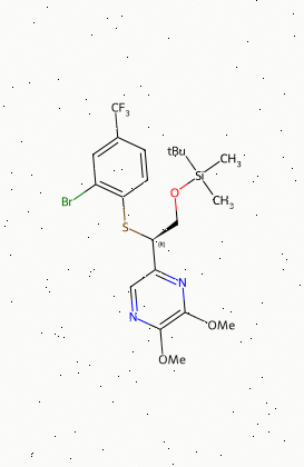 COc1ncc([C@H](CO[Si](C)(C)C(C)(C)C)Sc2ccc(C(F)(F)F)cc2Br)nc1OC